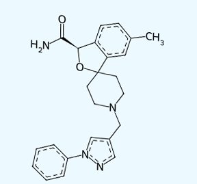 Cc1ccc2c(c1)C1(CCN(Cc3cnn(-c4ccccc4)c3)CC1)O[C@H]2C(N)=O